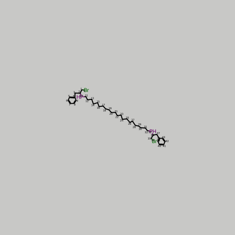 BrCC(Cc1ccccc1)PCCCCCCCCCCCCCCCCCCCCCCPC(CBr)Cc1ccccc1